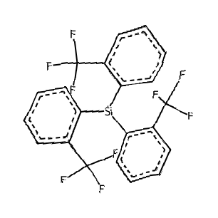 FC(F)(F)c1ccccc1[Si](c1ccccc1C(F)(F)F)c1ccccc1C(F)(F)F